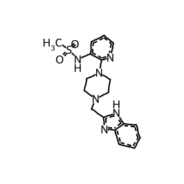 CS(=O)(=O)Nc1cccnc1N1CCN(Cc2nc3ccccc3[nH]2)CC1